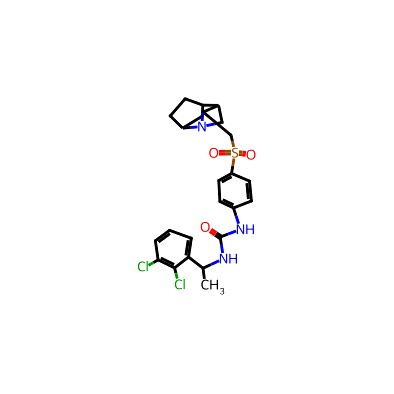 CC(NC(=O)Nc1ccc(S(=O)(=O)CC2CC3CCC4C2CN34)cc1)c1cccc(Cl)c1Cl